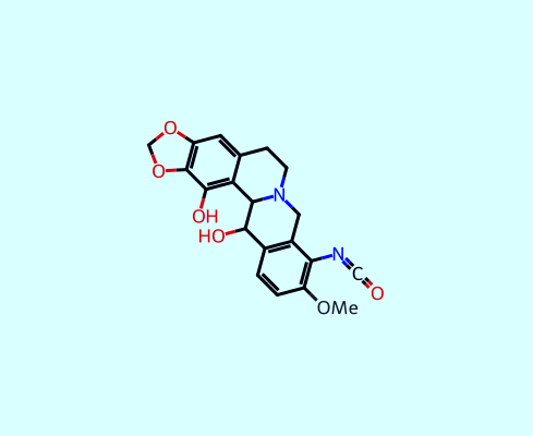 COc1ccc2c(c1N=C=O)CN1CCc3cc4c(c(O)c3C1C2O)OCO4